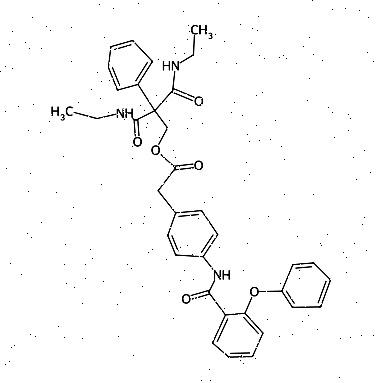 CCNC(=O)C(COC(=O)Cc1ccc(NC(=O)c2ccccc2Oc2ccccc2)cc1)(C(=O)NCC)c1ccccc1